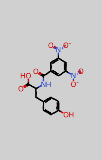 O=C(NC(Cc1ccc(O)cc1)C(=O)O)c1cc([N+](=O)[O-])cc([N+](=O)[O-])c1